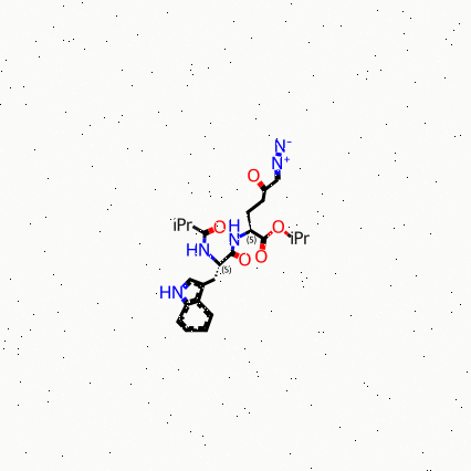 CC(C)OC(=O)[C@H](CCC(=O)C=[N+]=[N-])NC(=O)[C@H](Cc1c[nH]c2ccccc12)NC(=O)C(C)C